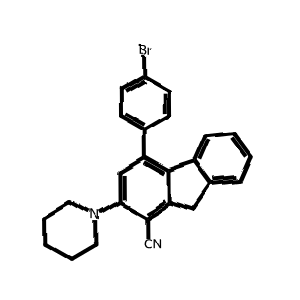 N#Cc1c(N2CCCCC2)cc(-c2ccc(Br)cc2)c2c1Cc1ccccc1-2